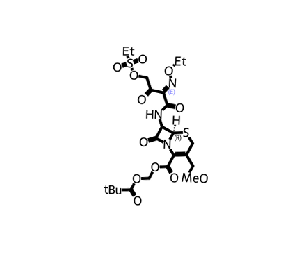 CCO/N=C(\C(=O)COS(=O)(=O)CC)C(=O)NC1C(=O)N2C(C(=O)OCOC(=O)C(C)(C)C)=C(COC)CS[C@H]12